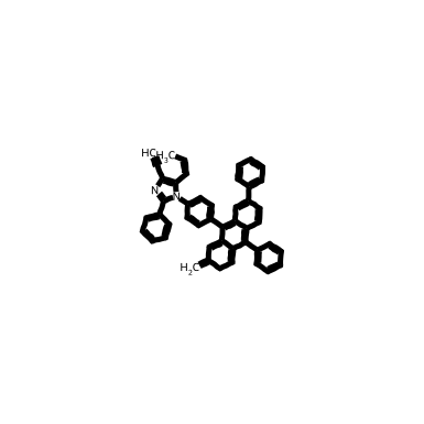 C#Cc1nc(-c2ccccc2)n(-c2ccc(-c3c4c(c(-c5ccccc5)c5ccc(-c6ccccc6)cc35)=CCC(=C)C=4)cc2)c1/C=C\C